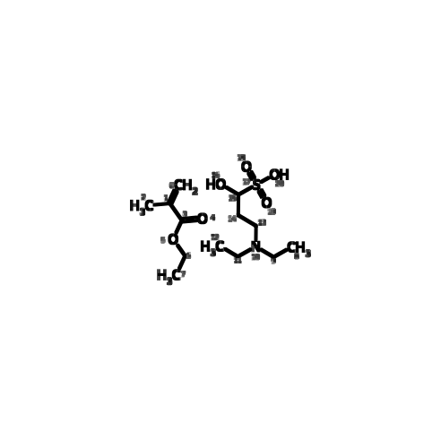 C=C(C)C(=O)OCC.CCN(CC)CCC(O)S(=O)(=O)O